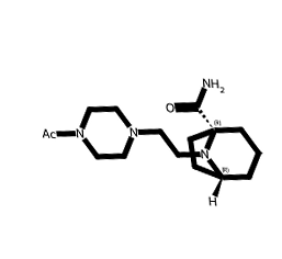 CC(=O)N1CCN(CCN2[C@@H]3C[CH]C[C@]2(C(N)=O)CC3)CC1